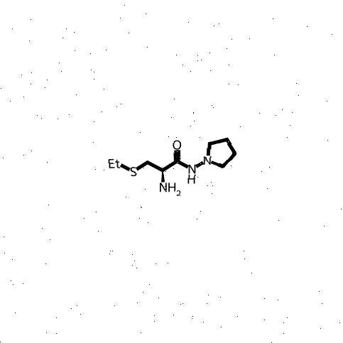 CCSC[C@H](N)C(=O)NN1CCCC1